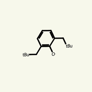 CC(C)(C)Cc1cccc(CC(C)(C)C)c1[O]